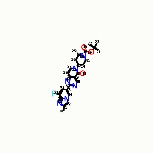 Cc1cn2cc(-c3ncc4c(=O)n([C@H]5CCN(C(=O)OC(C)(C)C)[C@@H](C)C5)ccc4n3)cc(F)c2n1